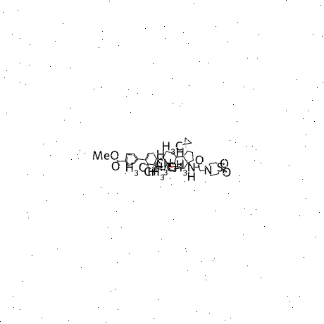 COC(=O)c1ccc(C2=CC[C@]3(C)[C@H]4CC[C@@H]5[C@H]6[C@H](C7(C)CC7)CC[C@]6(NC(=O)CN6CCS(=O)(=O)CC6)CC[C@@]5(C)[C@]4(C)CC[C@H]3C2(C)C)cc1